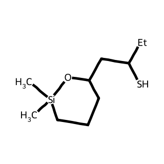 CCC(S)CC1CCC[Si](C)(C)O1